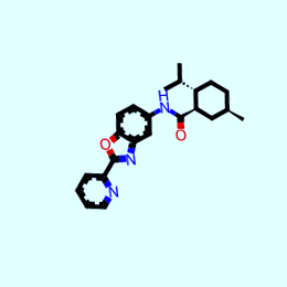 CC(C)[C@@H]1CC[C@@H](C)C[C@H]1C(=O)Nc1ccc2oc(-c3ccccn3)nc2c1